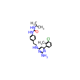 Cc1c(Cl)cccc1-c1cc(NCCc2ccc(NC(=O)NC(C)C)cc2)nc(N)n1